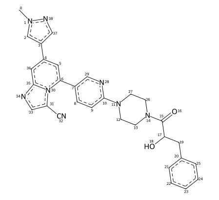 Cn1cc(-c2cc(-c3ccc(N4CCN(C(=O)C(O)Cc5ccccc5)CC4)nc3)n3c(C#N)cnc3c2)cn1